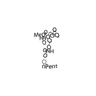 CCCCC[C@H]1CC[C@H](c2ccc(C(=O)Nc3ccc(-c4ccc5c6c(c(C(=O)OC)c(Nc7ccccc7)c5c4)C=CC(c4ccccc4)(c4ccccc4)O6)cc3)cc2)CC1